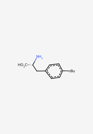 CCCCc1ccc(C[C@@H](N)C(=O)O)cc1